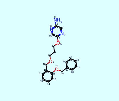 Nc1cnc(OCCCOCc2ccccc2OCc2ccccc2)cn1